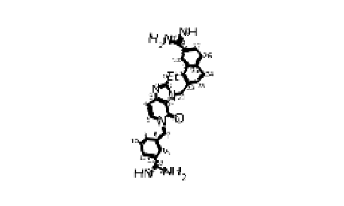 CCc1nc2ccn(Cc3cccc(C(=N)N)c3)c(=O)c2n1Cc1ccc2ccc(C(=N)N)cc2c1